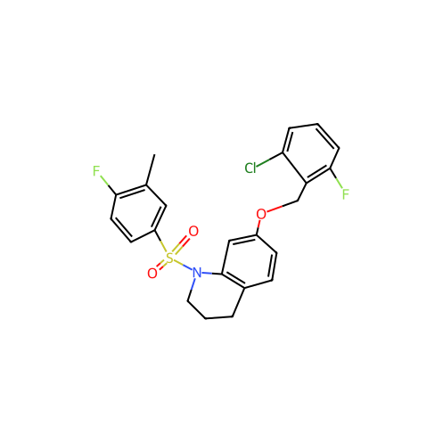 Cc1cc(S(=O)(=O)N2CCCc3ccc(OCc4c(F)cccc4Cl)cc32)ccc1F